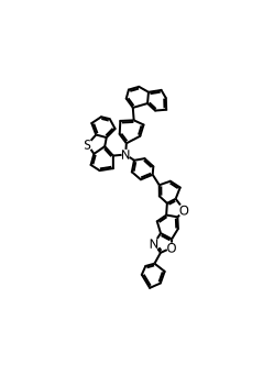 c1ccc(-c2nc3cc4c(cc3o2)oc2ccc(-c3ccc(N(c5ccc(-c6cccc7ccccc67)cc5)c5cccc6sc7ccccc7c56)cc3)cc24)cc1